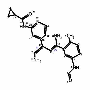 Cc1ccc(NC=O)cc1/C(N)=C/C(=C\N)c1ccnc(NC(=O)C2CC2)c1